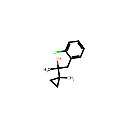 CC(O)(Cc1ccccc1Cl)C1(C)CC1